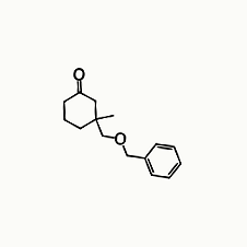 CC1(COCc2ccccc2)CCCC(=O)C1